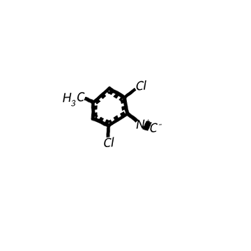 [C-]#[N+]c1c(Cl)cc(C)cc1Cl